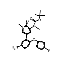 CN(C(=O)OC(C)(C)C)c1cc(-c2cc(N)ccc2Oc2ccc(F)cc2)cn(C)c1=O